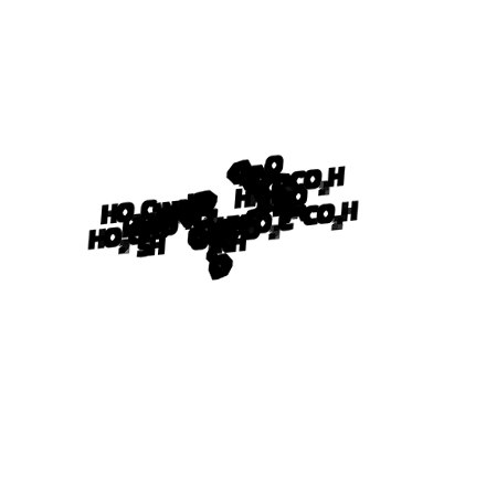 C[C@@H](CCC(=O)NCC(=O)N[C@@H](Cc1ccccc1)C(=O)N[C@@H](Cc1ccccc1)C(=O)NC[C@H](N)C(=O)N[C@@H](CC(=O)O)C(=O)N[C@@H](CS)C(=O)O)NC(=O)C(Cc1ccccc1)NC(=O)CC[C@H](NC(=O)N[C@@H](CCC(=O)O)C(=O)O)C(=O)O